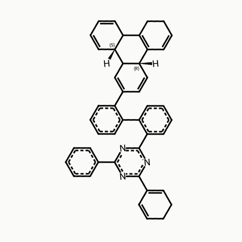 C1=CC2C3=C(C=CCC3)[C@@H]3C=CC(c4ccccc4-c4ccccc4-c4nc(C5=CCCC=C5)nc(-c5ccccc5)n4)=CC3[C@@H]2C=C1